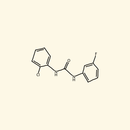 O=C(Nc1cccc(F)c1)Nc1ccccc1Cl